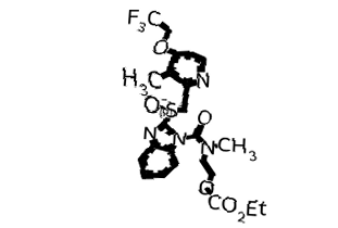 CCOC(=O)OCCN(C)C(=O)n1c([S@@+]([O-])Cc2nccc(OCC(F)(F)F)c2C)nc2ccccc21